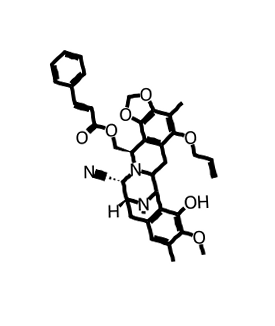 C=CCOc1c(C)c2c(c3c1CC1C4c5c(cc(C)c(OC)c5O)C[C@H]([C@H](C#N)N1[C@H]3COC(=O)/C=C/c1ccccc1)N4C)OCO2